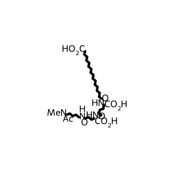 CNC(CCCCNC(=O)CCC(NC(=O)CCC(NC(=O)CCCCCCCCCCCCCCCCC(=O)O)C(=O)O)C(=O)O)C(C)=O